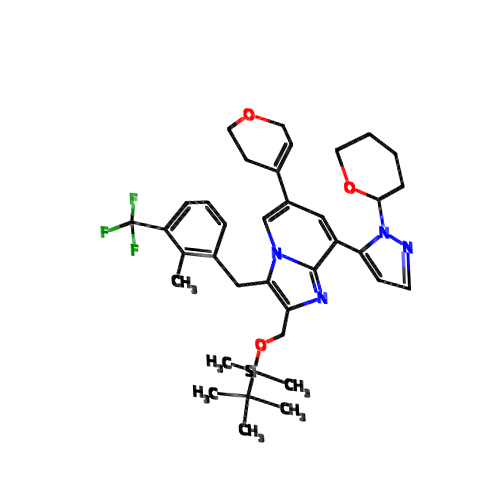 Cc1c(Cc2c(CO[Si](C)(C)C(C)(C)C)nc3c(-c4ccnn4C4CCCCO4)cc(C4=CCOCC4)cn23)cccc1C(F)(F)F